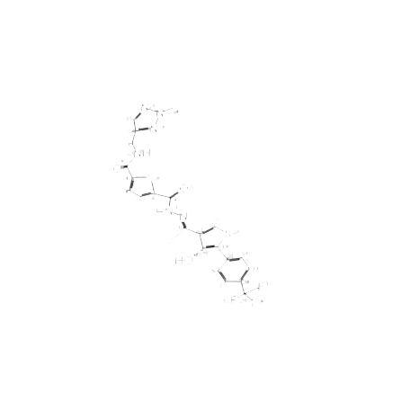 C/C(=N\NC(=O)c1ccc(C(=O)NCc2cnn(C)n2)s1)c1csc(-c2ccc(C(F)(F)F)cc2)c1O